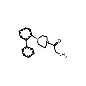 NCC(=O)N1CCN(c2ccccc2-c2ccccc2)CC1